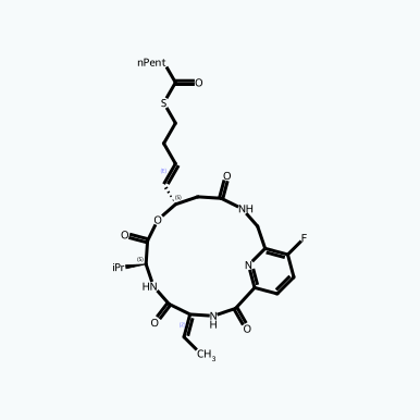 C/C=C1\NC(=O)c2ccc(F)c(n2)CNC(=O)C[C@@H](/C=C/CCSC(=O)CCCCC)OC(=O)[C@H](C(C)C)NC1=O